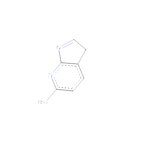 CC(C)(C)c1ccc2c(n1)N=CC2